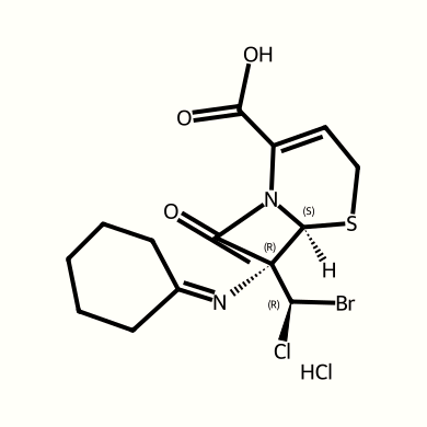 Cl.O=C(O)C1=CCS[C@@H]2N1C(=O)[C@]2(N=C1CCCCC1)[C@H](Cl)Br